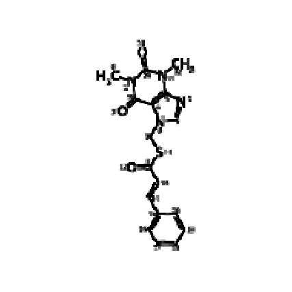 Cn1c(=O)c2c(ncn2CSC(=O)C=Cc2ccccc2)n(C)c1=O